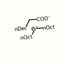 CCCCCCCCCCCC(=O)[O-].CCCCCCC[CH2][Bi+][CH2]CCCCCCC